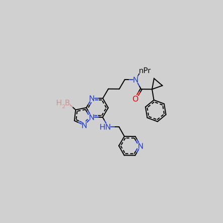 Bc1cnn2c(NCc3cccnc3)cc(CCCN(CCC)C(=O)C3(c4ccccc4)CC3)nc12